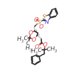 CC(C)(Cc1ccccc1)OC(=O)C[C@H]1C[C@@H](CS(=O)(=O)c2nc3ccccc3s2)OC(C)(C)O1